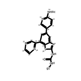 CCNC(=O)Nc1nc2cc(-c3ccc(NC(C)=O)nc3)cc(-c3cnccn3)c2s1